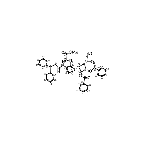 CCNC(=O)[C@H]1O[C@@H](n2cnc3c(NCC(c4ccccc4)c4ccccc4)nc(C(=O)OC)nc32)[C@@H](OC(=O)c2ccccc2)[C@H]1OC(=O)c1ccccc1